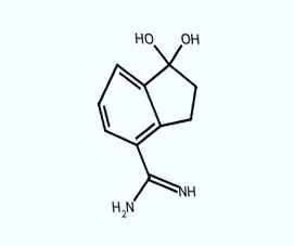 N=C(N)c1cccc2c1CCC2(O)O